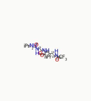 CC(C)NCC(=O)NCC(=O)N[C@@H](CCCCNC(=O)C(F)(F)F)C(=O)C(C)C